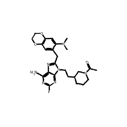 CC(=O)N1CCCC(CCn2c(Cc3cc4c(cc3N(C)C)OCCO4)nc3c(N)nc(F)nc32)C1